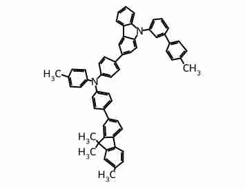 Cc1ccc(-c2cccc(-n3c4ccccc4c4cc(-c5ccc(N(c6ccc(C)cc6)c6ccc(-c7ccc8c(c7)C(C)(C)c7cc(C)ccc7-8)cc6)cc5)ccc43)c2)cc1